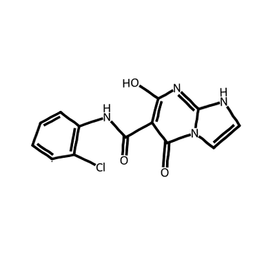 O=C(Nc1ccc[c]c1Cl)c1c(O)nc2[nH]ccn2c1=O